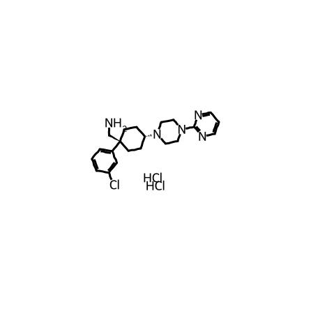 Cl.Cl.NC[C@]1(c2cccc(Cl)c2)CC[C@@H](N2CCN(c3ncccn3)CC2)CC1